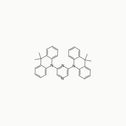 CC1(C)c2ccccc2N(c2cncc(N3c4ccccc4C(C)(C)c4ccccc43)n2)c2ccccc21